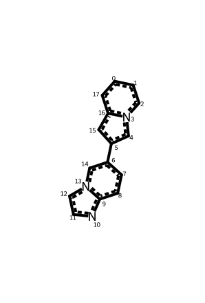 c1ccn2cc(-c3ccc4nccn4c3)cc2c1